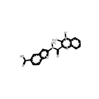 Cc1c(C(=O)N(C)c2cc3cc(C(=O)O)ccc3o2)nc2ccccc2[n+]1[O-]